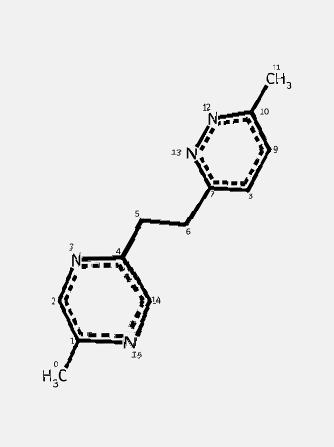 Cc1cnc(CCc2ccc(C)nn2)cn1